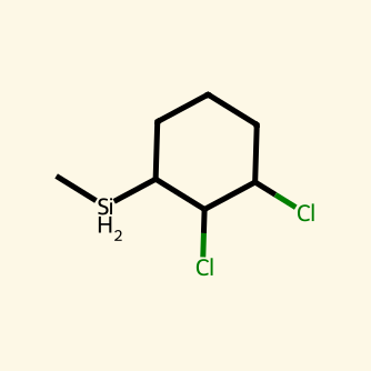 C[SiH2]C1CCCC(Cl)C1Cl